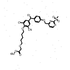 CCC(c1ccc(OCc2ccnc(S(C)(=O)=O)n2)cc1)c1cc(Cl)c(OCCCCCOCC(=O)OC(C)(C)C)c(C#N)c1